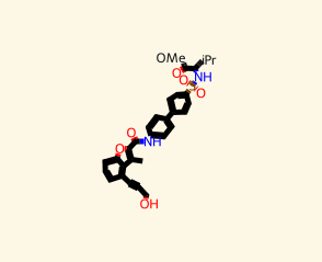 COC(=O)C(NS(=O)(=O)c1ccc(-c2ccc(NC(=O)c3oc4cccc(C#CCO)c4c3C)cc2)cc1)C(C)C